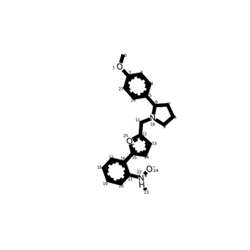 COc1ccc(C2CCCN2Cc2ccc(-c3ccccc3[NH+](C)[O-])o2)cc1